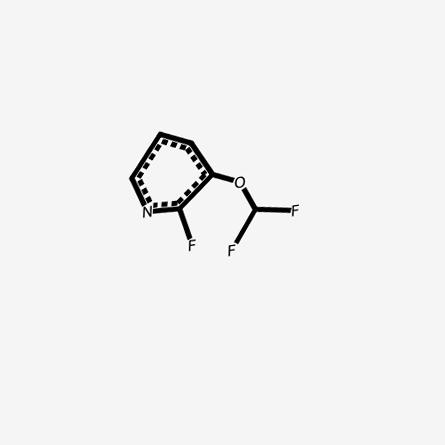 Fc1ncccc1OC(F)F